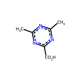 Cc1nc(C)nc(C(=O)O)n1